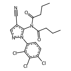 CCCC(=O)N(C(=O)CCC)c1c(C#N)cnn1-c1ccc(Cl)c(Cl)c1Cl